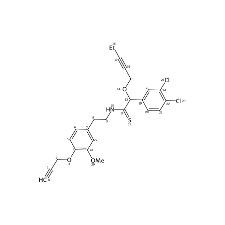 C#CCOc1ccc(CCNC(=S)C(OCC#CCC)c2ccc(Cl)c(Cl)c2)cc1OC